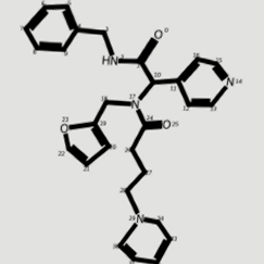 O=C(NCc1ccccc1)C(c1ccncc1)N(Cc1ccco1)C(=O)CCCN1C=CC=CC1